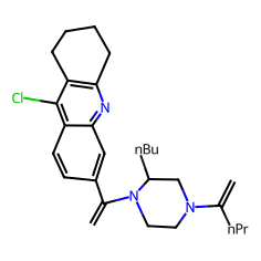 C=C(CCC)N1CCN(C(=C)c2ccc3c(Cl)c4c(nc3c2)CCCC4)C(CCCC)C1